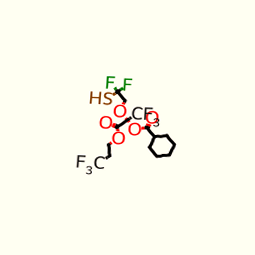 O=C(OC(OCC(F)(F)S)(C(=O)OCCC(F)(F)F)C(F)(F)F)C1CCCCC1